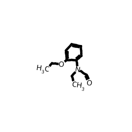 CCOc1ccccc1N(C=O)CC